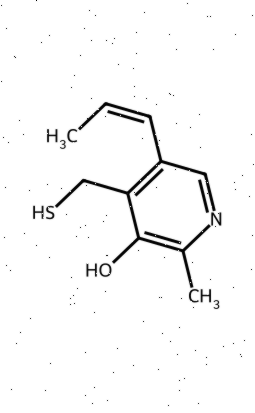 C/C=C\c1cnc(C)c(O)c1CS